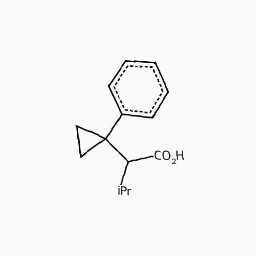 CC(C)C(C(=O)O)C1(c2ccccc2)CC1